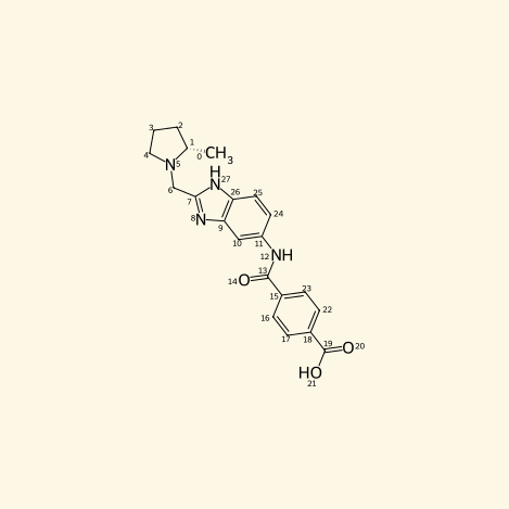 C[C@H]1CCCN1Cc1nc2cc(NC(=O)c3ccc(C(=O)O)cc3)ccc2[nH]1